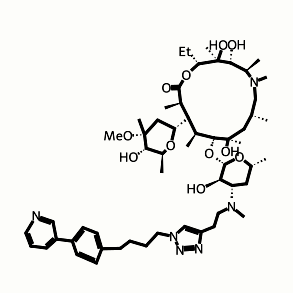 CC[C@H]1OC(=O)[C@H](C)C([C@H]2C[C@@](C)(OC)[C@@H](O)[C@H](C)O2)[C@H](C)[C@@H](O[C@@H]2O[C@H](C)C[C@H](N(C)CCc3cn(CCCCc4ccc(-c5cccnc5)cc4)nn3)[C@H]2O)[C@](C)(O)C[C@@H](C)CN(C)[C@H](C)[C@@H](O)[C@]1(C)O